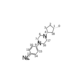 C[C@H]1CC[C@@H](N2CCN(c3ccc(C#N)cc3)CC2)C1